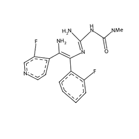 CNC(=O)N/C(N)=N/C(=C(\N)c1ccncc1F)c1ccccc1F